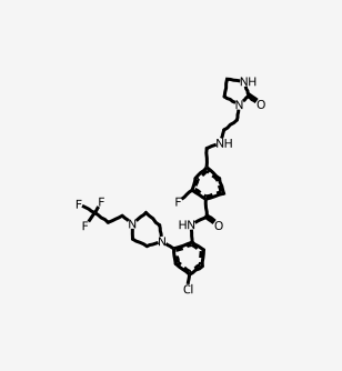 O=C(Nc1ccc(Cl)cc1N1CCN(CCC(F)(F)F)CC1)c1ccc(CNCCN2CCNC2=O)cc1F